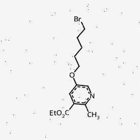 CCOC(=O)c1cc(OCCCCCBr)cnc1C